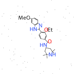 CCOc1cc(C(=O)NC2CC(C)(C)NC(C)(C)C2)ccc1-c1nc2ccc(OC)cc2[nH]1